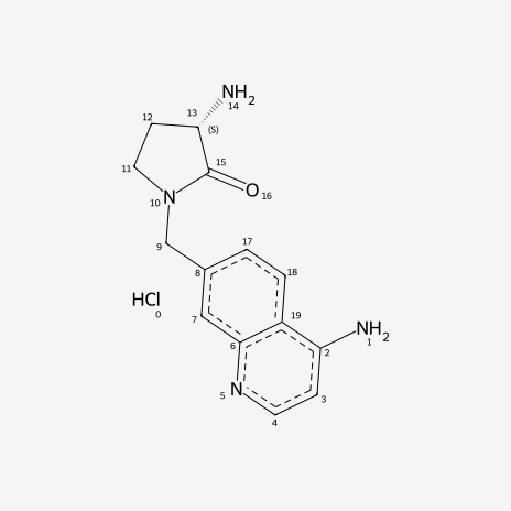 Cl.Nc1ccnc2cc(CN3CC[C@H](N)C3=O)ccc12